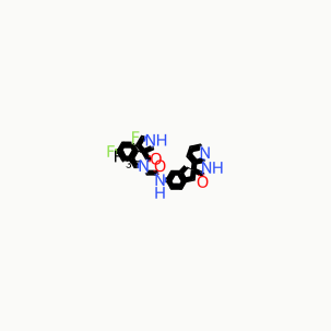 CC1(C(=O)N(CC(=O)Nc2ccc3c(c2)C[C@@]2(C3)C(=O)Nc3ncccc32)Cc2cc(F)cc(F)c2)CCNC1